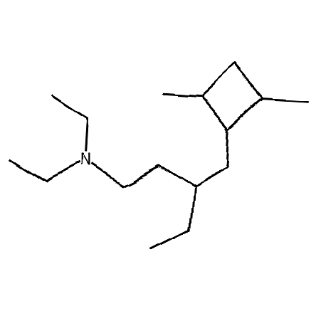 CCC(CCN(CC)CC)CC1C(C)CC1C